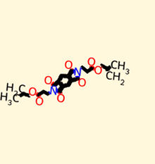 C=C(C)COC(=O)CCn1c(=O)c2cc3c(=O)n(CCC(=O)OCC(=C)C)c(=O)c3cc2c1=O